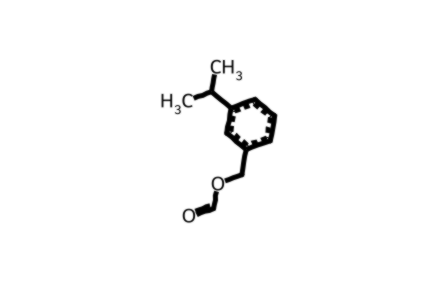 CC(C)c1cccc(COC=O)c1